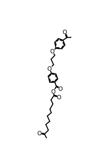 CC(=O)CCCCCCCCC(=O)OC(=O)c1ccc(OCCCOc2ccc(C(C)=O)cc2)cc1